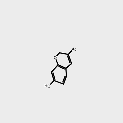 CC(=O)C1=Cc2ccc(O)cc2OC1